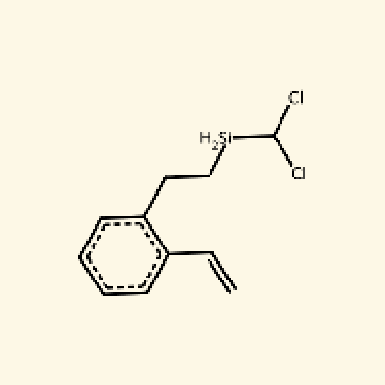 C=Cc1ccccc1CC[SiH2]C(Cl)Cl